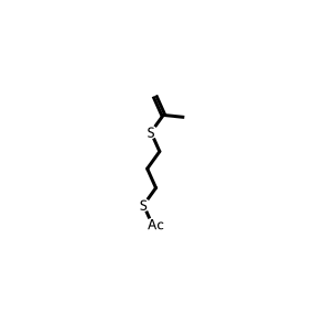 C=C(C)SCCCSC(C)=O